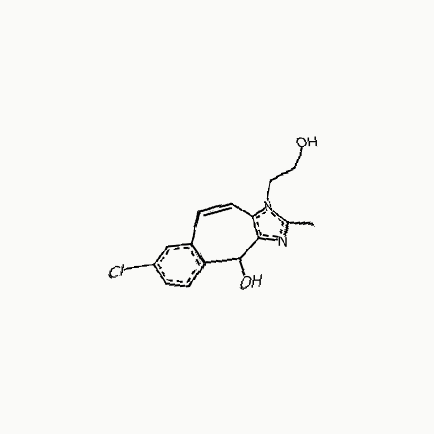 Cc1nc2c(n1CCO)C=Cc1cc(Cl)ccc1C2O